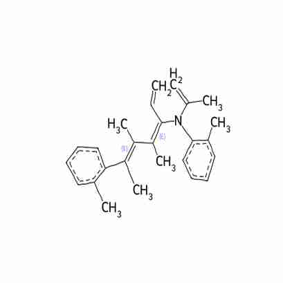 C=C/C(=C(C)\C(C)=C(/C)c1ccccc1C)N(C(=C)C)c1ccccc1C